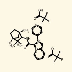 CC1(C)[C@@H]2CC[C@@](C)(C2)[C@H]1NC(=O)c1n2ccccc2c[n+]1-c1ccncc1.O=C(O)C(F)(F)F.O=C([O-])C(F)(F)F